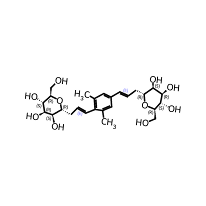 Cc1cc(/C=C/C[C@H]2O[C@H](CO)[C@@H](O)[C@H](O)[C@@H]2O)cc(C)c1/C=C/C[C@H]1O[C@H](CO)[C@@H](O)[C@H](O)[C@@H]1O